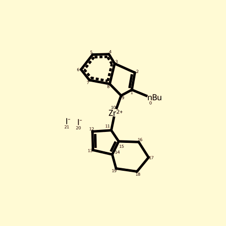 CCCCC1=Cc2ccccc2[CH]1[Zr+2][CH]1C=CC2=C1CCCC2.[I-].[I-]